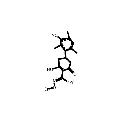 CCC/C(=N\OCC)C1=C(O)CC(c2c(C)cc(C)c(C#N)c2C)CC1=O